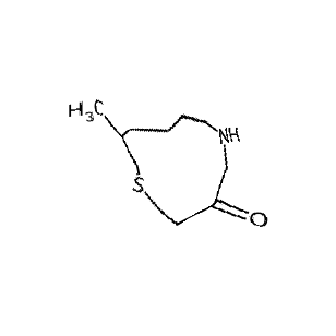 CC1CNC(=O)CS1